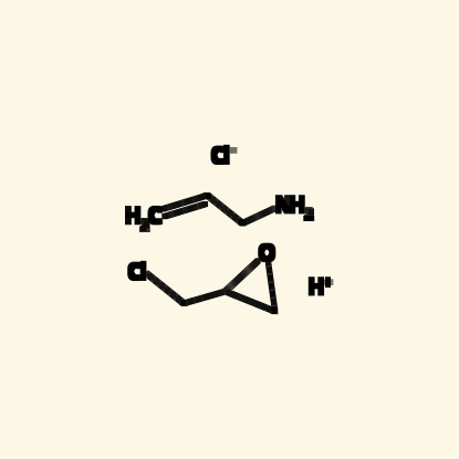 C=CCN.ClCC1CO1.[Cl-].[H+]